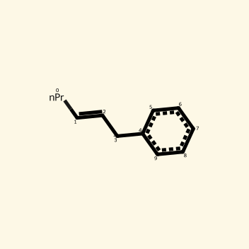 CCC/C=C/[CH]c1ccccc1